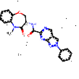 CN1C(=O)[C@@H](NC(=O)c2ncc3cn(-c4ccccc4)nc3n2)COc2ccccc21